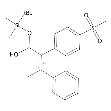 C/C(=C(/c1ccc(S(C)(=O)=O)cc1)C(O)O[Si](C)(C)C(C)(C)C)c1ccccc1